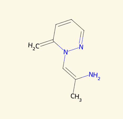 C=C1C=CC=NN1/C=C(/C)N